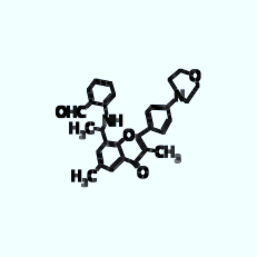 Cc1cc(C(C)Nc2ccccc2C=O)c2oc(-c3ccc(N4CCOCC4)cc3)c(C)c(=O)c2c1